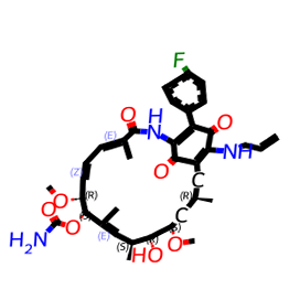 C=CCNC1=C2C[C@@H](C)C[C@H](OC)[C@H](O)[C@@H](C)/C=C(\C)[C@H](OC(N)=O)[C@H](OC)/C=C\C=C(/C)C(=O)NC(=C(c3ccc(F)cc3)C1=O)C2=O